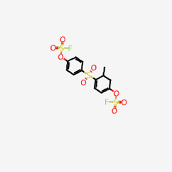 CC1CC(OS(=O)(=O)F)=CC=C1S(=O)(=O)c1ccc(OS(=O)(=O)F)cc1